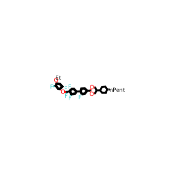 CCCCCC1CCC(C2COC(c3ccc(-c4cc(F)c(C(F)(F)Oc5ccc(OCC)c(F)c5)c(F)c4)c(F)c3)OC2)CC1